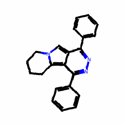 c1ccc(-c2nnc(-c3ccccc3)c3c4n(cc23)CCCC4)cc1